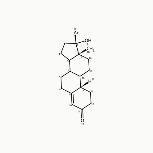 CC(=O)[C@]1(O)CCC2C3CCC4=CC(=O)CC[C@H]4C3CC[C@]21C